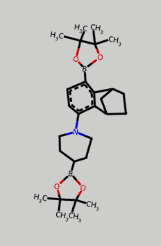 CC1(C)OB(c2ccc(N3CCC(B4OC(C)(C)C(C)(C)O4)CC3)c3c2C2CCC3C2)OC1(C)C